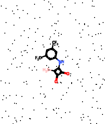 Bc1c(Nc2cc(C(F)(F)F)cc(C(F)(F)F)c2)c(=O)c1=O